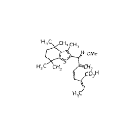 C=C(/C=C\C(=C/C)C(=O)O)C(=NOC)c1sc2c(c1C)C(C)(C)CCC2(C)C